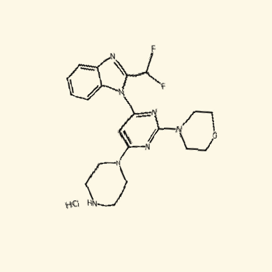 Cl.FC(F)c1nc2ccccc2n1-c1cc(N2CCNCC2)nc(N2CCOCC2)n1